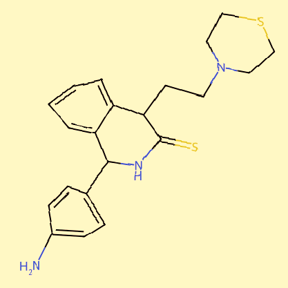 Nc1ccc(C2NC(=S)C(CCN3CCSCC3)c3ccccc32)cc1